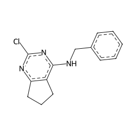 Clc1nc2c(c(NCc3ccccc3)n1)CCC2